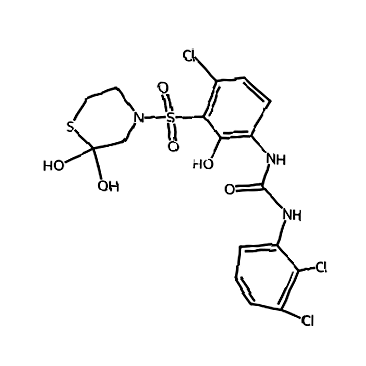 O=C(Nc1ccc(Cl)c(S(=O)(=O)N2CCSC(O)(O)C2)c1O)Nc1cccc(Cl)c1Cl